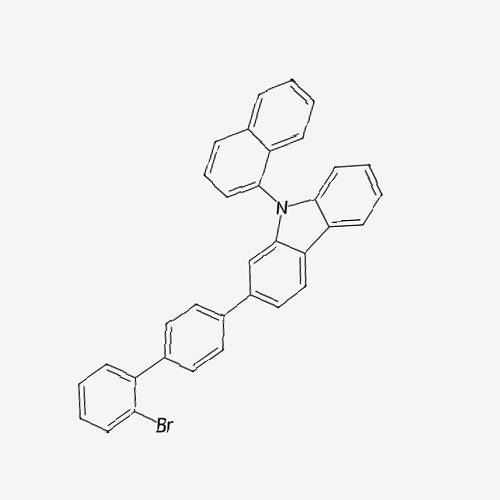 Brc1ccccc1-c1ccc(-c2ccc3c4ccccc4n(-c4cccc5ccccc45)c3c2)cc1